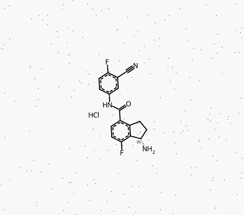 Cl.N#Cc1cc(NC(=O)c2ccc(F)c3c2CC[C@@H]3N)ccc1F